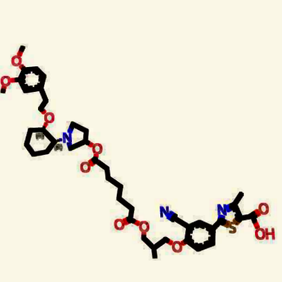 COc1ccc(CCO[C@@H]2CCCC[C@H]2N2CCC(OC(=O)CCCCCC(=O)OCC(C)COc3ccc(-c4nc(C)c(C(=O)O)s4)cc3C#N)C2)cc1OC